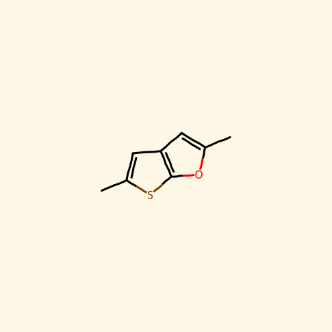 Cc1cc2cc(C)sc2o1